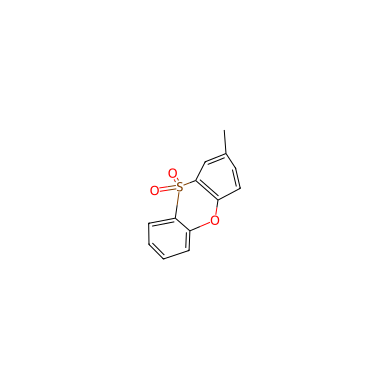 Cc1ccc2c(c1)S(=O)(=O)c1ccccc1O2